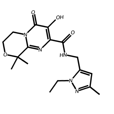 CCn1nc(C)cc1CNC(=O)c1nc2n(c(=O)c1O)CCOC2(C)C